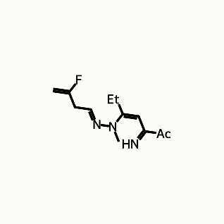 C=C(F)C/C=N/N(C)/C(=C\C(=N)C(C)=O)CC